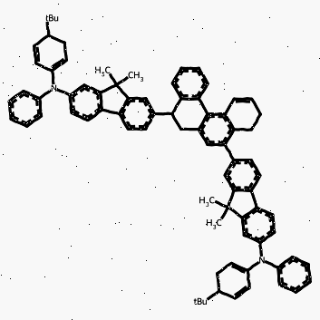 CC1(C)c2cc(-c3cc4c(c5c3CCC=C5)-c3ccccc3C(c3ccc5c(c3)C(C)(C)c3cc(N(C6=CCC(C(C)(C)C)C=C6)c6ccccc6)ccc3-5)C4)ccc2-c2ccc(N(C3=CCC(C(C)(C)C)C=C3)c3ccccc3)cc21